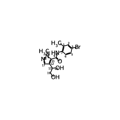 Cc1cc(Br)ccc1NC(=O)c1c(C(O)CO)cnn1C